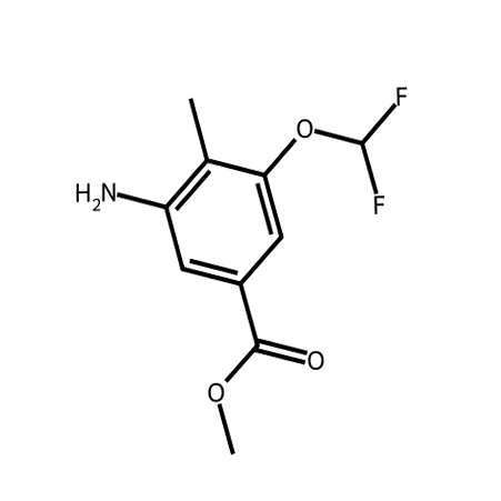 COC(=O)c1cc(N)c(C)c(OC(F)F)c1